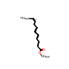 CCCCCC/C=C\CCCCCCCC(=O)OCCCCC